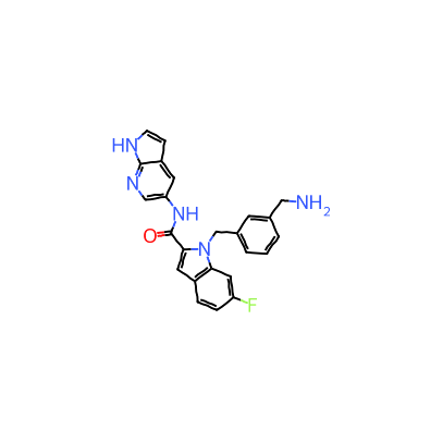 NCc1cccc(Cn2c(C(=O)Nc3cnc4[nH]ccc4c3)cc3ccc(F)cc32)c1